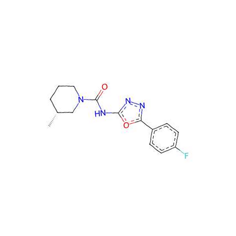 C[C@@H]1CCCN(C(=O)Nc2nnc(-c3ccc(F)cc3)o2)C1